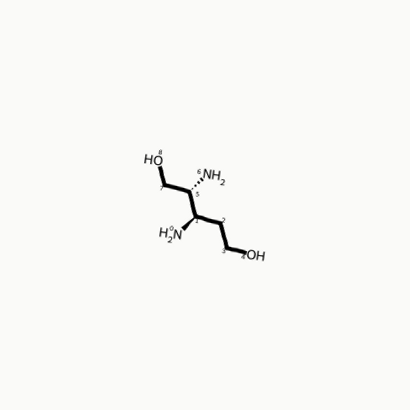 N[C@H](CCO)[C@@H](N)CO